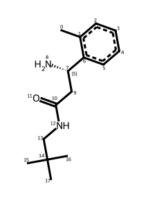 Cc1ccccc1[C@@H](N)CC(=O)NCC(C)(C)C